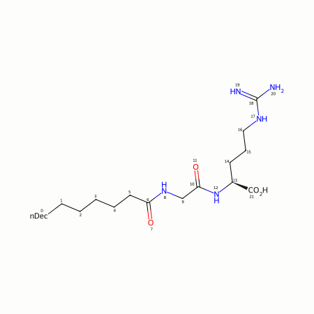 CCCCCCCCCCCCCCCC(=O)NCC(=O)N[C@@H](CCCNC(=N)N)C(=O)O